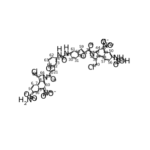 NS(=O)(=O)c1ccc2c3c(cc([N+](=O)[O-])c2c1)N(C(=O)c1cc2cc(NC(=O)Nc4ccc5oc(C(=O)N6CC(CCl)c7c6cc([N+](=O)[O-])c6cc(NS(=O)O)ccc76)cc5c4)ccc2o1)CC3CCl